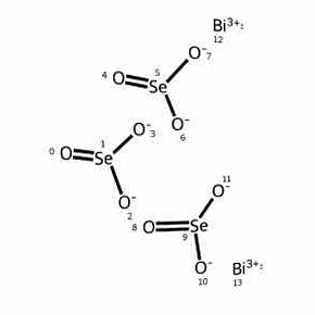 O=[Se]([O-])[O-].O=[Se]([O-])[O-].O=[Se]([O-])[O-].[Bi+3].[Bi+3]